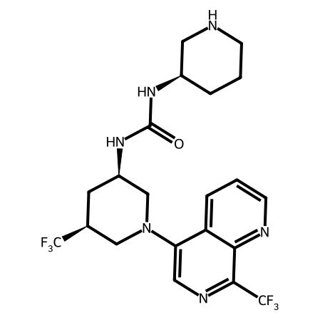 O=C(N[C@@H]1CCCNC1)N[C@@H]1C[C@H](C(F)(F)F)CN(c2cnc(C(F)(F)F)c3ncccc23)C1